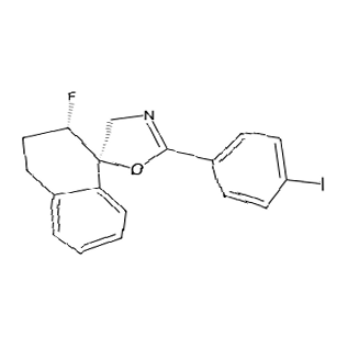 F[C@H]1CCc2ccccc2[C@@]12CN=C(c1ccc(I)cc1)O2